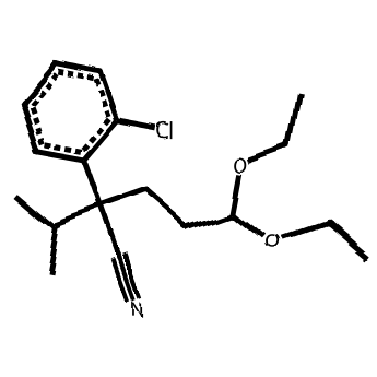 CCOC(CCC(C#N)(c1ccccc1Cl)C(C)C)OCC